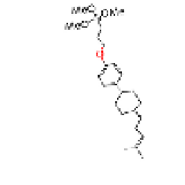 CO[Si](CCCOc1ccc([C@H]2CC[C@H](CCC=C(C)C)CC2)cc1)(OC)OC